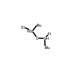 CCC(C)[SiH](CC)O[SiH](CC)C(C)CC